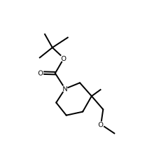 COCC1(C)CCCN(C(=O)OC(C)(C)C)C1